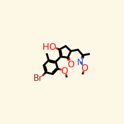 CON=C(C)CC1CC(O)=C(c2c(C)cc(Br)cc2OC)C1=O